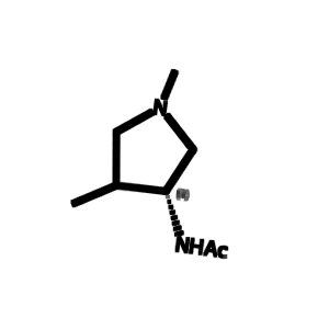 CC(=O)N[C@H]1CN(C)CC1C